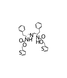 CCN(C[C@@H](Cc1ccccc1)NC(=O)OCc1cccs1)C[C@@H](Cc1ccccc1)NC(=O)OCc1cccs1